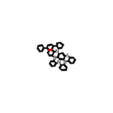 c1ccc(-c2ccc(-c3ccccc3N3c4ccccc4B4c5ccccc5N5c6ccccc6B6c7ccccc7Sc7cc3c4c5c76)cc2)cc1